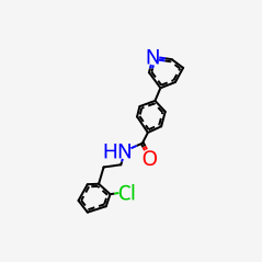 O=C(NCCc1ccccc1Cl)c1ccc(-c2cccnc2)cc1